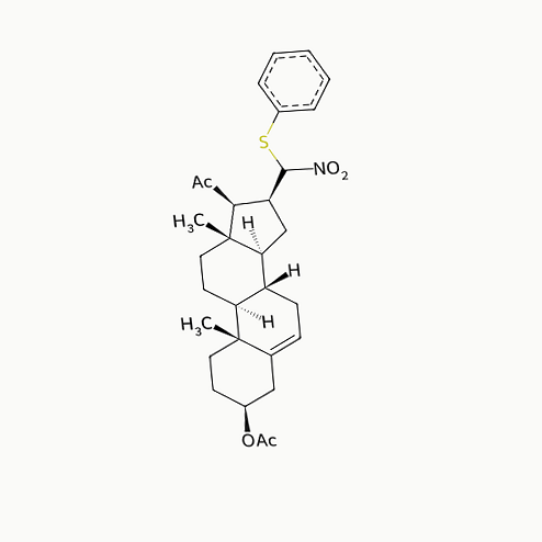 CC(=O)O[C@H]1CC[C@@]2(C)C(=CC[C@H]3[C@@H]4C[C@H](C(Sc5ccccc5)[N+](=O)[O-])[C@H](C(C)=O)[C@@]4(C)CC[C@@H]32)C1